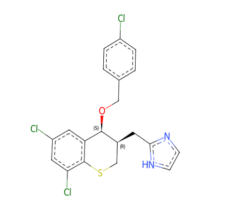 Clc1ccc(CO[C@@H]2c3cc(Cl)cc(Cl)c3SC[C@@H]2Cc2ncc[nH]2)cc1